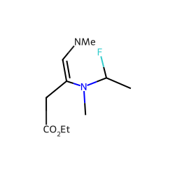 CCOC(=O)C/C(=C/NC)N(C)C(C)F